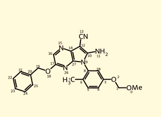 COCOc1ccc(C)c(-n2c(N)c(C#N)c3ncc(OCc4ccccc4)nc32)c1